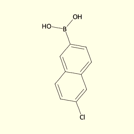 OB(O)c1ccc2cc(Cl)ccc2c1